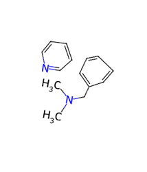 CN(C)Cc1ccccc1.c1ccncc1